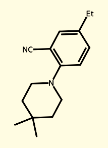 CCc1ccc(N2CCC(C)(C)CC2)c(C#N)c1